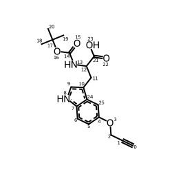 C#CCOc1ccc2[nH]cc(CC(NC(=O)OC(C)(C)C)C(=O)O)c2c1